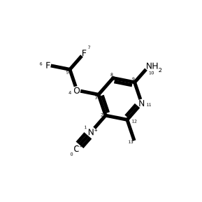 [C-]#[N+]c1c(OC(F)F)cc(N)nc1C